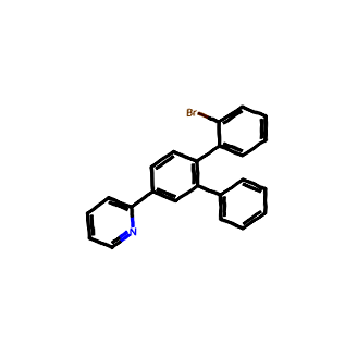 Brc1ccccc1-c1ccc(-c2ccccn2)cc1-c1ccccc1